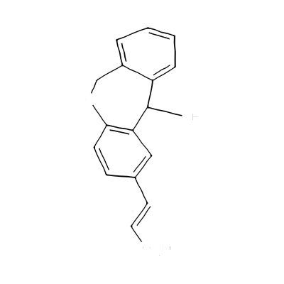 CCOC(=O)/C=C/c1ccc2c(c1)C(O)c1ccccc1CO2